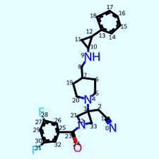 N#CCC1(N2CCC(CNC3CC3c3ccccc3)CC2)CN(C(=O)c2cc(F)cc(F)c2)C1